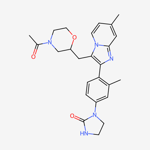 CC(=O)N1CCOC(Cc2c(-c3ccc(N4CCNC4=O)cc3C)nc3cc(C)ccn23)C1